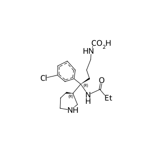 CCC(=O)N[C@@](CCCNC(=O)O)(c1cccc(Cl)c1)[C@@H]1CCCNC1